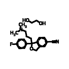 CN(C)CCCC1(c2ccc(F)cc2)OCc2cc(C#N)ccc21.OCCO